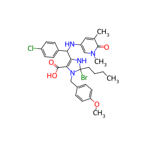 CCCCC1(Br)NC(C(Nc2cc(C)c(=O)n(C)c2)c2ccc(Cl)cc2)=C(C(=O)O)N1Cc1ccc(OC)cc1